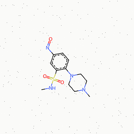 CNS(=O)(=O)c1cc(N=O)ccc1N1CCN(C)CC1